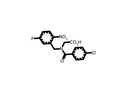 O=C(O)CN(Cc1cc(F)ccc1[N+](=O)[O-])C(=O)c1ccc(Cl)cc1